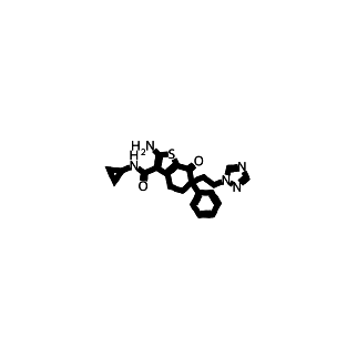 Nc1sc2c(c1C(=O)NC1CC1)CCC(CCn1cncn1)(c1ccccc1)C2=O